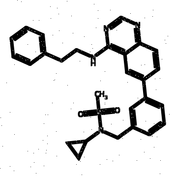 CS(=O)(=O)N(Cc1cccc(-c2ccc3ncnc(NCCc4ccccc4)c3c2)c1)C1CC1